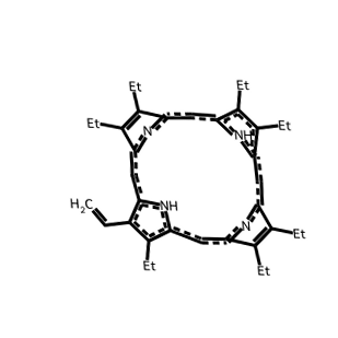 C=Cc1c(CC)c2cc3nc(cc4[nH]c(cc5nc(cc1[nH]2)C(CC)=C5CC)c(CC)c4CC)C(CC)=C3CC